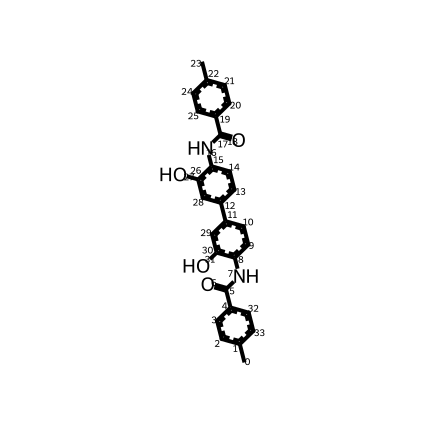 Cc1ccc(C(=O)Nc2ccc(-c3ccc(NC(=O)c4ccc(C)cc4)c(O)c3)cc2O)cc1